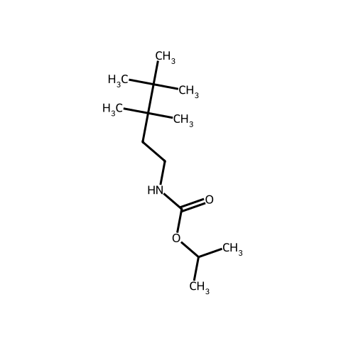 CC(C)OC(=O)NCCC(C)(C)C(C)(C)C